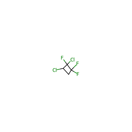 FC1(F)CC(Cl)C1(F)Cl